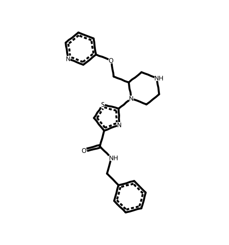 O=C(NCc1ccccc1)c1csc(N2CCNCC2COc2cccnc2)n1